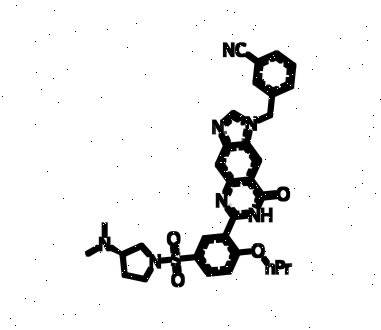 CCCOc1ccc(S(=O)(=O)N2CC[C@@H](N(C)C)C2)cc1-c1nc2cc3ncn(Cc4cccc(C#N)c4)c3cc2c(=O)[nH]1